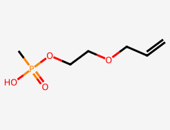 C=CCOCCOP(C)(=O)O